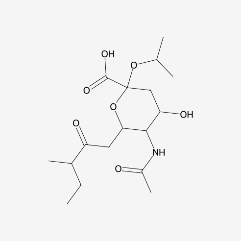 CCC(C)C(=O)CC1OC(OC(C)C)(C(=O)O)CC(O)C1NC(C)=O